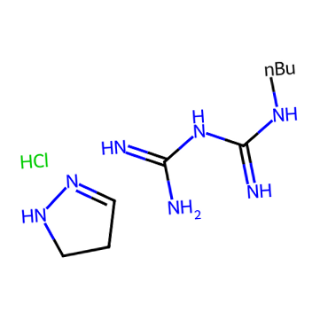 C1=NNCC1.CCCCNC(=N)NC(=N)N.Cl